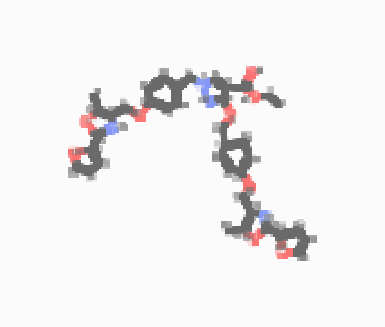 CCOC(=O)c1cn(Cc2ccc(OCc3nc(-c4ccco4)oc3C)cc2)nc1OCc1ccc(OCc2nc(-c3ccco3)oc2C)cc1